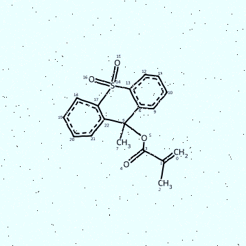 C=C(C)C(=O)OC1(C)c2ccccc2S(=O)(=O)c2ccccc21